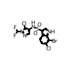 O=S(=O)(Nc1cnn(C(F)F)c1Cl)c1c[nH]c2c(Br)c(Cl)ccc12